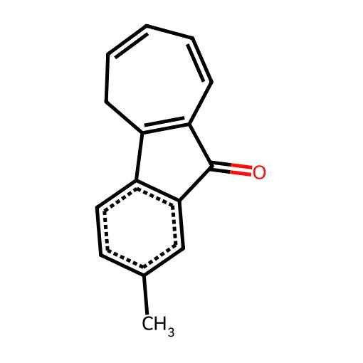 Cc1ccc2c(c1)C(=O)C1=C2CC=CC=C1